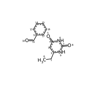 CCc1cc(=O)[nH]c(=O)[nH]1.O=Cc1ccccc1